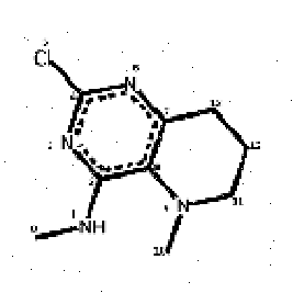 CNc1nc(Cl)nc2c1N(C)CCC2